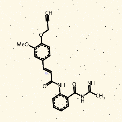 C#CCOc1ccc(/C=C/C(=O)Nc2ccccc2C(=O)NC(C)=N)cc1OC